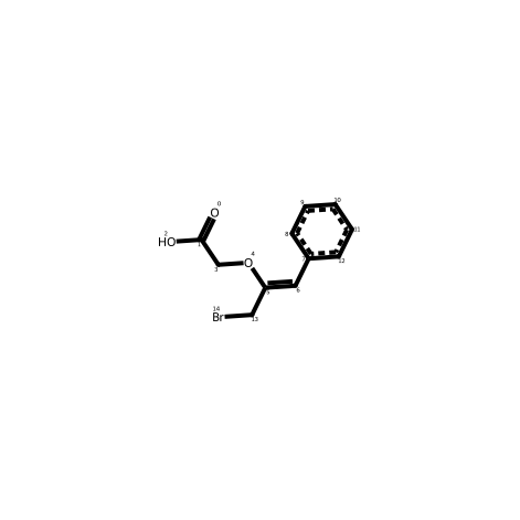 O=C(O)COC(=Cc1ccccc1)CBr